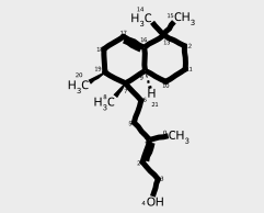 C/C(=C\CO)CC[C@@]1(C)[C@@H]2CCCC(C)(C)C2=CC[C@@H]1C